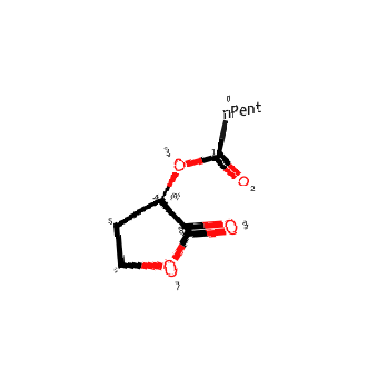 CCCCCC(=O)O[C@@H]1CCOC1=O